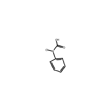 O=C(O)N(Cl)c1ccccc1